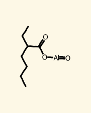 CCCCC(CC)C(=O)[O][Al]=[O]